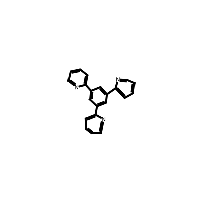 [c]1c(-c2ccccn2)cc(-c2ccccn2)cc1-c1ccccn1